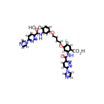 O=C(Nc1cc(OCCCCOc2cc(NC(=O)c3ccc(-n4ccnc4)nn3)c(C(=O)O)cc2F)ccc1C(=O)O)c1ccc(-n2ccnc2)nn1